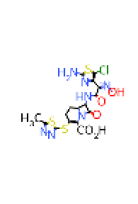 Cc1nnc(SC2=C(C(=O)O)N3C(=O)C(NC(=O)/C(=N\O)c4nc(N)sc4Cl)C3CC2)s1